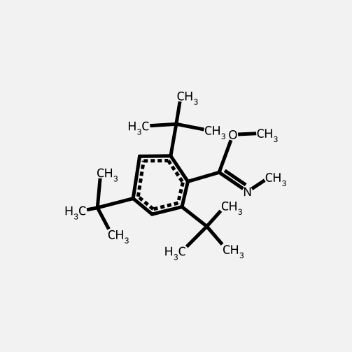 CN=C(OC)c1c(C(C)(C)C)cc(C(C)(C)C)cc1C(C)(C)C